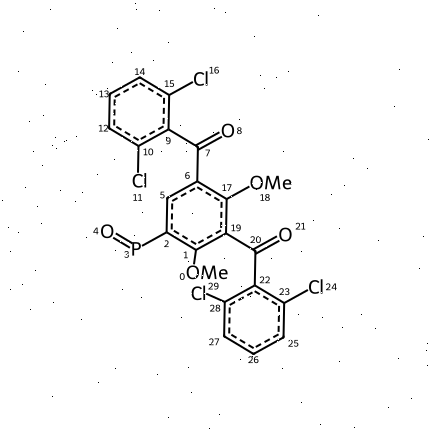 COc1c(P=O)cc(C(=O)c2c(Cl)cccc2Cl)c(OC)c1C(=O)c1c(Cl)cccc1Cl